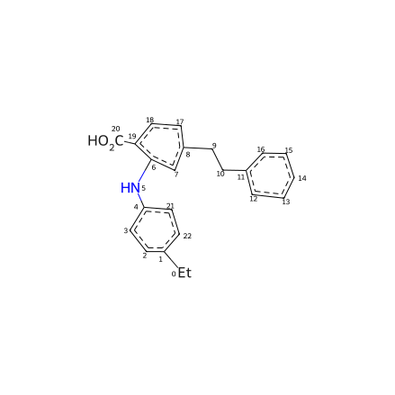 CCc1ccc(Nc2cc(CCc3ccccc3)ccc2C(=O)O)cc1